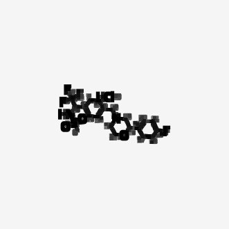 CS(=O)(=O)N[C@@H](c1ccc(CN2CCOC(c3ccc(F)cc3)C2)cc1)C(F)(F)F.Cl